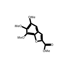 COC(=O)c1cc2cc(OC)c(OC)c(OC)c2o1